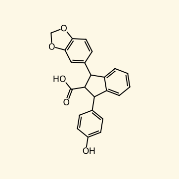 O=C(O)C1C(c2ccc(O)cc2)c2ccccc2C1c1ccc2c(c1)OCO2